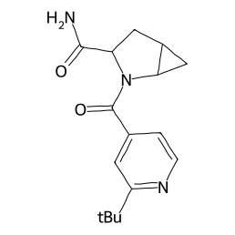 CC(C)(C)c1cc(C(=O)N2C(C(N)=O)CC3CC32)ccn1